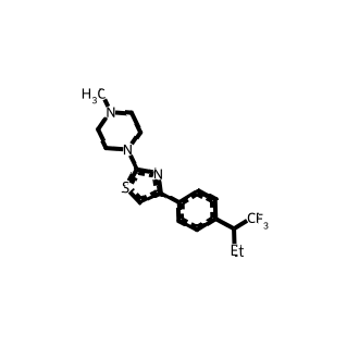 CCC(c1ccc(-c2csc(N3CCN(C)CC3)n2)cc1)C(F)(F)F